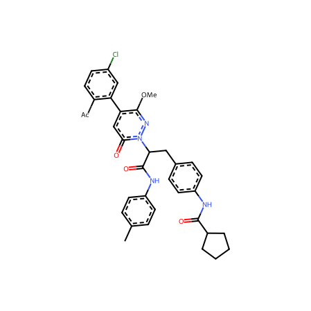 COc1nn(C(Cc2ccc(NC(=O)C3CCCC3)cc2)C(=O)Nc2ccc(C)cc2)c(=O)cc1-c1cc(Cl)ccc1C(C)=O